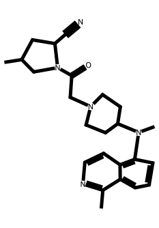 Cc1nccc2c(N(C)C3CCN(CC(=O)N4CC(C)CC4C#N)CC3)cccc12